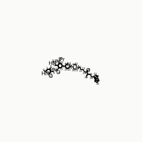 Cc1cc(C)c(CNC(=O)c2cc(-c3ccc(N4CCN(CCCCC(=O)C(I)CCC56CC7CC8CC(C5)C7C86)CC4)nc3)cc(NC(C)C)c2C=N)c(=O)[nH]1